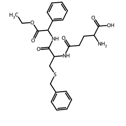 CCOC(=O)C(NC(=O)C(CSCc1ccccc1)NC(=O)CCC(N)C(=O)O)c1ccccc1